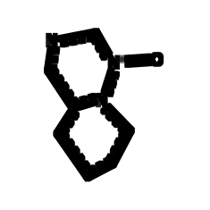 O=[n+]1cncc2ccccn21